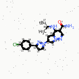 C[C@@H](Nc1c(C(N)=O)cnn2cc(-n3ccc(-c4ccc(Cl)cc4)n3)cc12)C(C)(C)C